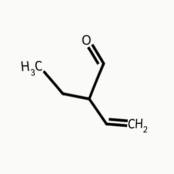 C=CC(C=O)CC